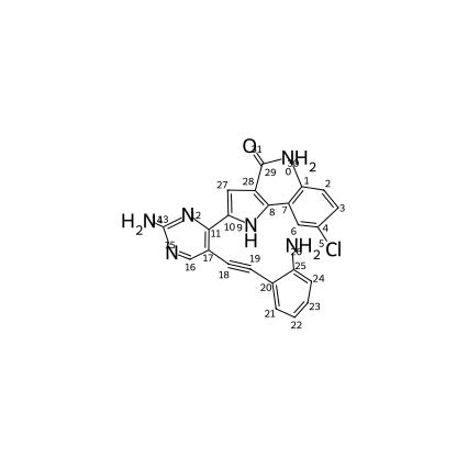 Cc1ccc(Cl)cc1-c1[nH]c(-c2nc(N)ncc2C#Cc2ccccc2N)cc1C(N)=O